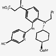 CO[C@H]1CC[C@H](N(CC(C)C)c2ccc([C@H](C)CC(=O)O)cc2Nc2ccc(C#N)cn2)CC1